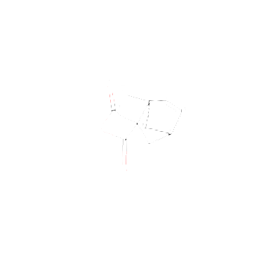 CC12C=CC(C1)CC21C(=O)OC1=O